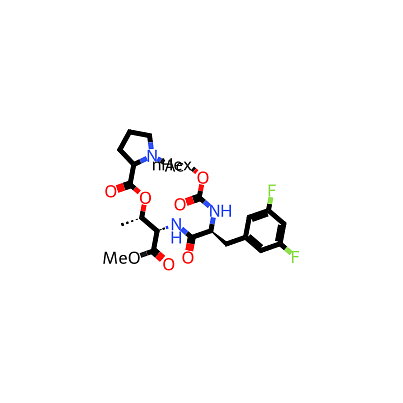 CCCCCCOC(=O)N[C@@H](Cc1cc(F)cc(F)c1)C(=O)N[C@H](C(=O)OC)[C@H](C)OC(=O)C1CCCN1C(C)=O